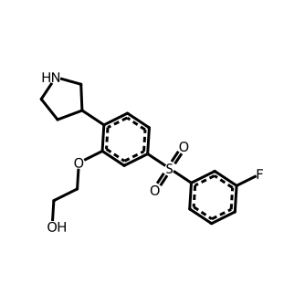 O=S(=O)(c1cccc(F)c1)c1ccc(C2CCNC2)c(OCCO)c1